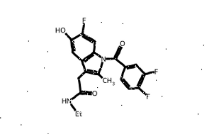 CCNC(=O)Cc1c(C)n(C(=O)c2ccc(F)c(F)c2)c2cc(F)c(O)cc12